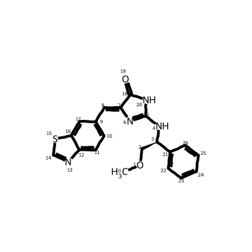 COC[C@@H](NC1=N/C(=C\c2ccc3ncsc3c2)C(=O)N1)c1ccccc1